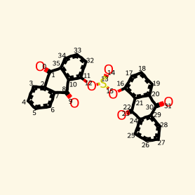 O=C1c2ccccc2C(=O)c2c(OS(=O)Oc3cccc4c3C(=O)c3ccccc3C4=O)cccc21